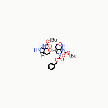 CC(C)(C)OC(=O)N[C@@]12COCC[C@@H]1CN(C(=O)OCc1ccccc1)C2.CC(C)(C)OC(=O)N[C@]12CNC[C@H]1CCOC2